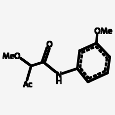 COc1cccc(NC(=O)C(OC)C(C)=O)c1